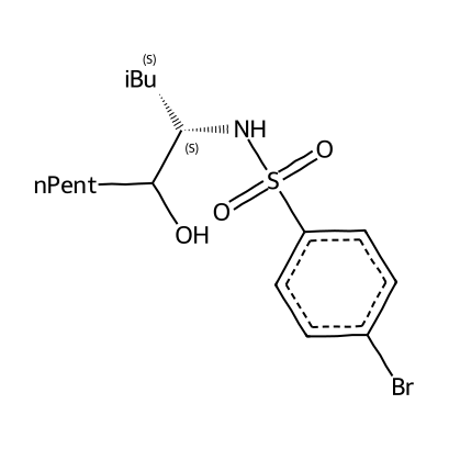 CCCCCC(O)[C@@H](NS(=O)(=O)c1ccc(Br)cc1)[C@@H](C)CC